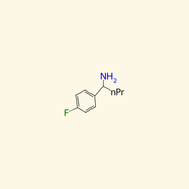 C[CH]CC(N)c1ccc(F)cc1